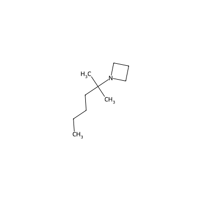 CCCCC(C)(C)N1CCC1